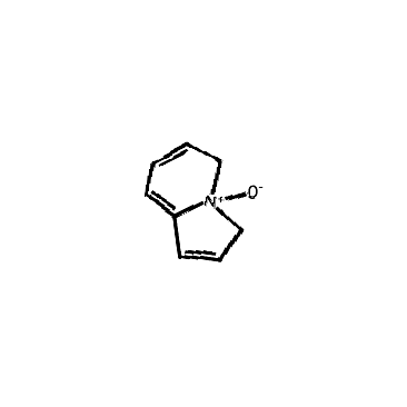 [O-][N+]12CC=CC=C1C=CC2